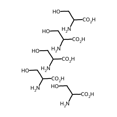 NC(CO)C(=O)O.NC(CO)C(=O)O.NC(CO)C(=O)O.NC(CO)C(=O)O.NC(CO)C(=O)O